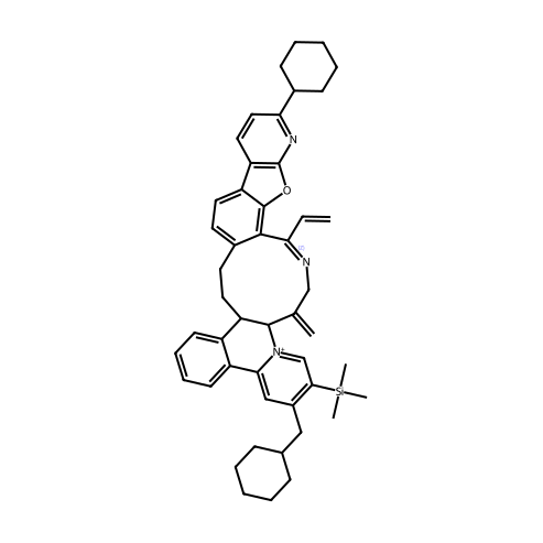 C=C/C1=N/CC(=C)C2C(CCc3ccc4c(oc5nc(C6CCCCC6)ccc54)c31)c1ccccc1-c1cc(CC3CCCCC3)c([Si](C)(C)C)c[n+]12